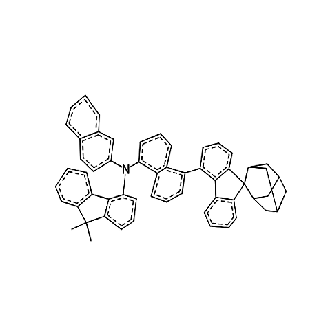 CC1(C)c2ccccc2-c2c(N(c3ccc4ccccc4c3)c3cccc4c(-c5cccc6c5-c5ccccc5C65C6CC7CC(C6)CC5C7)cccc34)cccc21